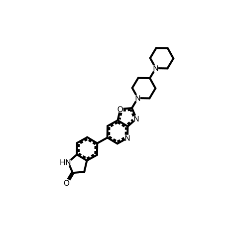 O=C1Cc2cc(-c3cnc4nc(N5CCC(N6CCCCC6)CC5)oc4c3)ccc2N1